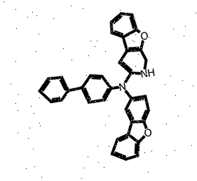 C1=C(N(c2ccc(-c3ccccc3)cc2)c2ccc3oc4ccccc4c3c2)NCc2oc3ccccc3c21